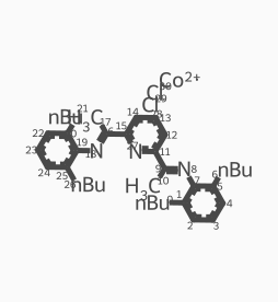 CCCCc1cccc(CCCC)c1N=C(C)c1cccc(C(C)=Nc2c(CCCC)cccc2CCCC)n1.[Cl-].[Cl-].[Co+2]